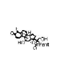 CCCCCC(=O)O[C@]1(C(=O)CO)[C@@H](C)C[C@H]2[C@@H]3CCC4=C(F)C(=O)C=C[C@]4(C)[C@@]3(F)[C@@H](O)C[C@@]21C